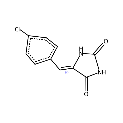 O=C1NC(=O)/C(=C/c2ccc(Cl)cc2)N1